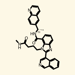 CNC(=O)CCCn1c(-c2cncc3ccccc23)nc2cccc(C(=O)N[C@@H](C)c3ccc4ncccc4c3)c21